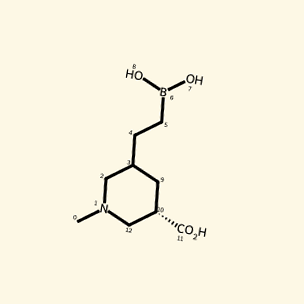 CN1CC(CCB(O)O)C[C@H](C(=O)O)C1